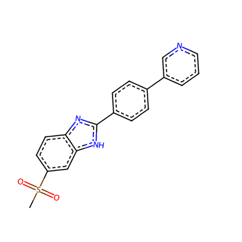 CS(=O)(=O)c1ccc2nc(-c3ccc(-c4cccnc4)cc3)[nH]c2c1